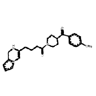 COc1ccc(C(=O)C2CCN(C(=O)CCCC3=Cn4cccc4CN3)CC2)cc1